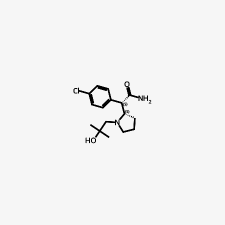 CC(C)(O)CN1CCC[C@H]1[C@@H](C(N)=O)c1ccc(Cl)cc1